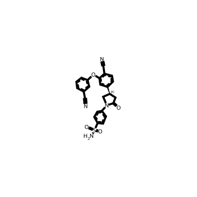 N#Cc1cccc(Oc2cc([C@H]3CC(=O)N(c4ccc(S(N)(=O)=O)cc4)C3)ccc2C#N)c1